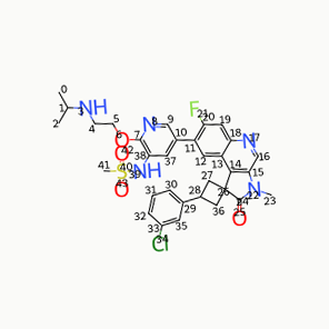 CC(C)NCCOc1ncc(-c2cc3c4c(cnc3cc2F)N(C)C(=O)C42CC(c3cccc(Cl)c3)C2)cc1NS(C)(=O)=O